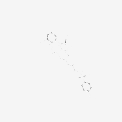 Cc1ccc(S(=O)(=O)OCCCN(CCCO)C[C@H]2CN(c3cccc(F)c3)C(=O)O2)cc1